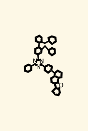 c1ccc(Cc2ccccc2-c2ccc(-c3nc(-c4ccccc4)nc(-c4ccc(-c5cccc6c5ccc5c7ccccc7oc65)cc4)n3)cc2Cc2ccccc2)cc1